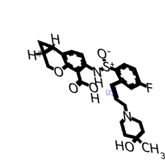 CC1(O)CCN(C/C=C\c2cc(F)ccc2[S+]([O-])Nc2ccc3c(c2C(=O)O)OC[C@@H]2C[C@H]32)CC1